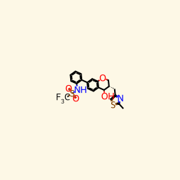 Cc1nc(C[C@H]2COc3cc(-c4ccccc4NS(=O)(=O)C(F)(F)F)ccc3[C@@H]2O)cs1